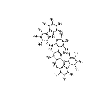 [2H]c1c([2H])c(-c2c([2H])c([2H])c([2H])c(-n3c4c([2H])c([2H])c([2H])c([2H])c4c4c([2H])c([2H])c([2H])c([2H])c43)c2[2H])c([2H])c(-n2c3c([2H])c([2H])c([2H])c([2H])c3c3c([2H])c([2H])c([2H])c([2H])c32)c1[2H]